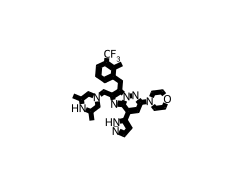 Cc1c(Cc2c(CN3CC(C)NC(C)C3)nc3c(-c4ccn[nH]4)cc(N4CCOCC4)nn23)cccc1C(F)(F)F